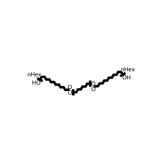 CCCCCCC(CCCCCCCCCCC(=O)OC(C)(C)CCCCCCC(C)(C)OC(=O)CCCCCCCCCCC(CCCCCC)C(C)(C)O)C(C)(C)O